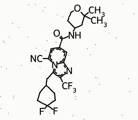 CC1(C)CC(NC(=O)c2cc(C#N)n3c(CC4CCC(F)(F)CC4)c(C(F)(F)F)nc3c2)CCO1